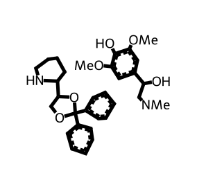 CNCC(O)c1cc(OC)c(O)c(OC)c1.c1ccc(C2(c3ccccc3)OCC(C3CCCCN3)O2)cc1